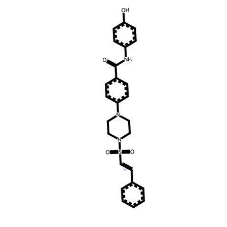 O=C(Nc1ccc(O)cc1)c1ccc(N2CCN(S(=O)(=O)/C=C/c3ccccc3)CC2)cc1